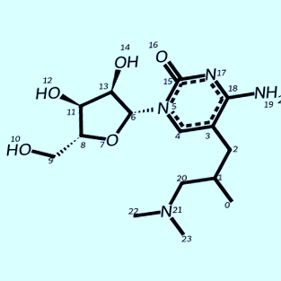 CC(Cc1cn([C@@H]2O[C@H](CO)[C@@H](O)[C@H]2O)c(=O)nc1N)CN(C)C